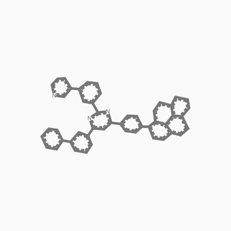 c1ccc(-c2cccc(-c3cc(-c4ccc(-c5ccc6ccc7cccc8ccc5c6c78)cc4)nc(-c4cccc(-c5cccnc5)c4)n3)c2)cc1